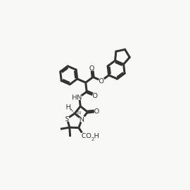 CC1(C)S[C@H]2C(NC(=O)C(C(=O)Oc3ccc4c(c3)CCC4)c3ccccc3)C(=O)N2C1C(=O)O